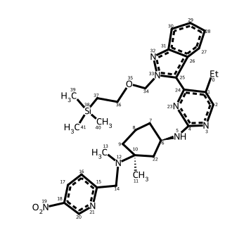 CCc1cnc(N[C@@H]2CCC[C@](C)(N(C)Cc3ccc([N+](=O)[O-])cn3)C2)nc1-c1c2ccccc2nn1COCC[Si](C)(C)C